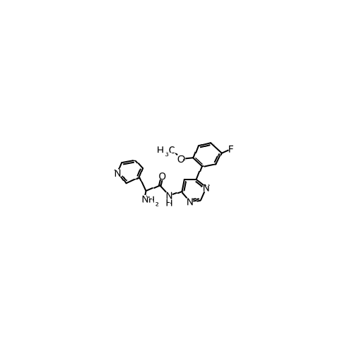 COc1ccc(F)cc1-c1cc(NC(=O)C(N)c2cccnc2)ncn1